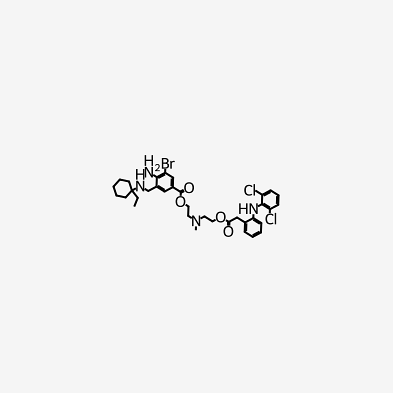 CCC1(NCc2cc(C(=O)OCCN(C)CCOC(=O)Cc3ccccc3Nc3c(Cl)cccc3Cl)cc(Br)c2N)CCCCC1